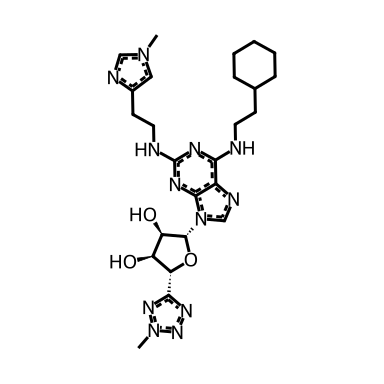 Cn1cnc(CCNc2nc(NCCC3CCCCC3)c3ncn([C@@H]4O[C@H](c5nnn(C)n5)[C@@H](O)[C@H]4O)c3n2)c1